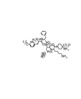 CC(C)CC(NC(=O)C(Cc1ccccc1)NC(=O)C(N)Cc1ccc(OC(F)(F)F)cc1)C(=O)NC(CCCCN)C(=O)N1CCC(N)(C(=O)O)CC1.Cl.Cl.Cl